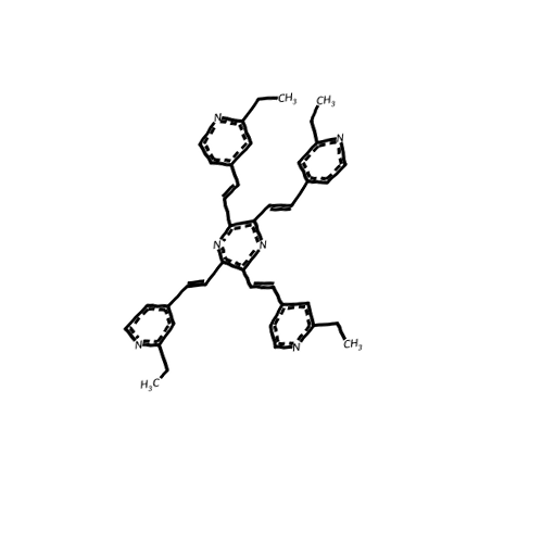 CCc1cc(C=Cc2nc(C=Cc3ccnc(CC)c3)c(C=Cc3ccnc(CC)c3)nc2C=Cc2ccnc(CC)c2)ccn1